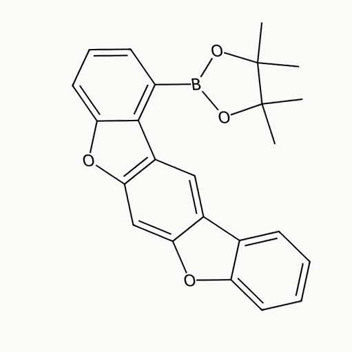 CC1(C)OB(c2cccc3oc4cc5oc6ccccc6c5cc4c23)OC1(C)C